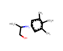 Cc1cccc(C)c1S(=O)(=O)O.NC(CO)C(=O)O